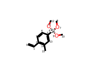 C=Cc1ccc([Si](OC)(OC)OC)cc1C